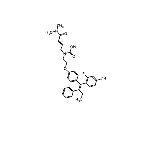 CCC(=C(c1ccc(OCCN(C/C=C/C(=O)N(C)C)C(=O)O)cc1)c1ccc(O)cc1F)c1ccccc1